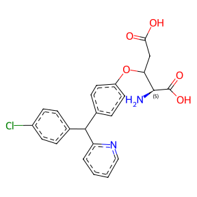 N[C@H](C(=O)O)C(CC(=O)O)Oc1ccc(C(c2ccc(Cl)cc2)c2ccccn2)cc1